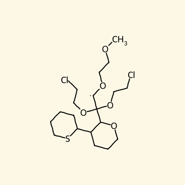 COCCO[CH]C(OCCCl)(OCCCl)C1OCCCC1C1CCCCS1